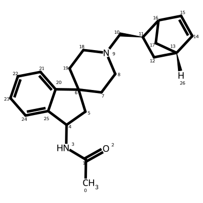 CC(=O)NC1CC2(CCN(C[C@@H]3C[C@H]4C=CC3C4)CC2)c2ccccc21